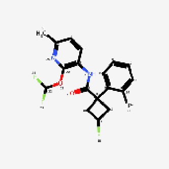 Cc1ccc(NC(=O)C2(c3ccccc3C(C)C)CC(F)C2)c(OC(F)F)n1